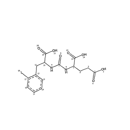 O=C(O)CCC(NC(=O)NC(Cc1ccccc1I)C(=O)O)C(=O)O